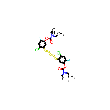 CCN(CC)C(=O)Oc1cc(SSSSSc2cc(OC(=O)N(CC)CC)c(F)cc2Cl)c(Cl)cc1F